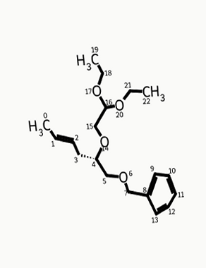 C/C=C/C[C@@H](COCc1ccccc1)OCC(OCC)OCC